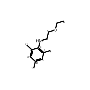 CCOC[CH]Nc1c(C)cc(C)cc1C